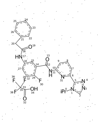 CC(C)n1cnnc1-c1cccc(NC(=O)c2cc(NC(=O)Cc3ccccc3)ccc2F)n1.O=C(O)C(F)(F)F